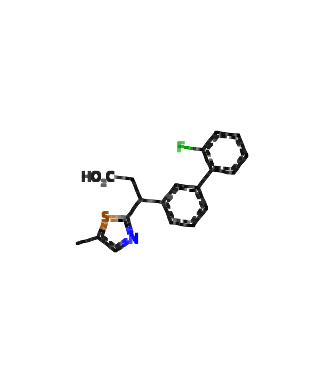 Cc1cnc(C(CC(=O)O)c2cccc(-c3ccccc3F)c2)s1